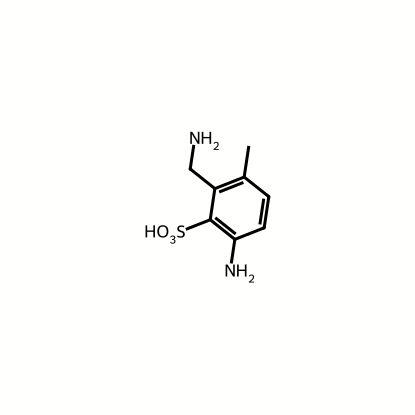 Cc1ccc(N)c(S(=O)(=O)O)c1CN